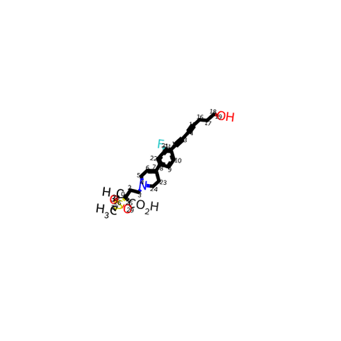 CC(CCN1CC=C(c2ccc(C#CC#CCCCO)c(F)c2)CC1)(C(=O)O)S(C)(=O)=O